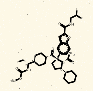 CC(C)(C)OC(=O)N[C@H](CF)[C@H]1CC[C@H](C(=O)[N+]2(c3ccc4oc(C(=O)NCC(F)F)cc4c3)CC[C@@H](C3CCCCC3)[C@H]2C(N)=O)CC1